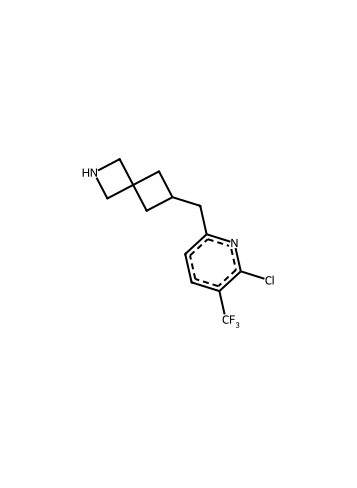 FC(F)(F)c1ccc(CC2CC3(CNC3)C2)nc1Cl